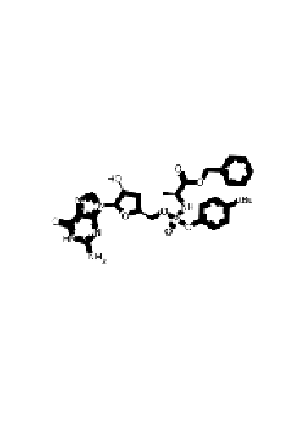 C[C@H](NP(=O)(OC[C@@H]1C[C@@H](O)[C@H](n2cnc3c(=O)[nH]c(N)nc32)O1)Oc1ccc(C(C)(C)C)cc1)C(=O)OCc1ccccc1